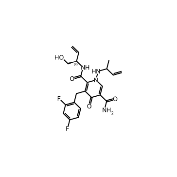 C=CC(C)Nn1cc(C(N)=O)c(=O)c(Cc2ccc(F)cc2F)c1C(=O)N[C@H](C=C)CO